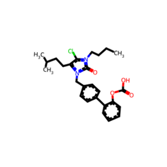 CCCCn1c(Cl)c(CCC(C)C)n(Cc2ccc(-c3ccccc3OC(=O)O)cc2)c1=O